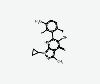 Cc1ccc(F)c(-c2[nH]c3c(c(C)nn3C3CC3)c(=O)c2O)c1F